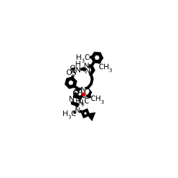 Cc1cccc(C)c1-c1cc2nc(n1)NS(=O)(=O)c1cccc(c1)C(=O)N(Cc1nc(N(C)C3CC4(CC4)C3)cnc1C)[C@H](CC(C)(C)C)CC2